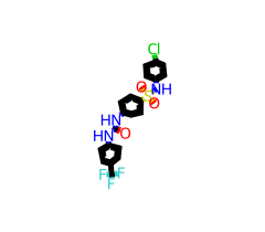 O=C(Nc1ccc(C(F)(F)F)cc1)Nc1ccc(S(=O)(=O)Nc2ccc(Cl)cc2)cc1